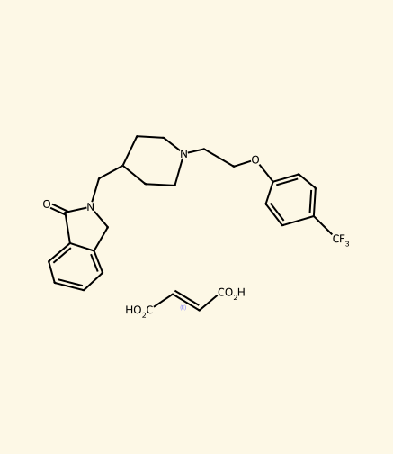 O=C(O)/C=C/C(=O)O.O=C1c2ccccc2CN1CC1CCN(CCOc2ccc(C(F)(F)F)cc2)CC1